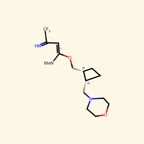 CN/C(=C\C(=N)C(F)(F)F)OC[C@@H]1CC[C@@H]1CN1CCOCC1